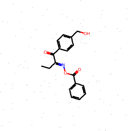 CC/C(=N\OC(=O)c1ccccc1)C(=O)c1ccc(CO)cc1